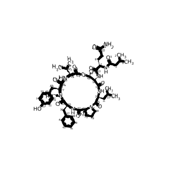 CC(C)CC(=O)N[C@@H](CCC(N)=O)C(=O)N[C@@H]1C(=O)N[C@@H](CC(C)C)C(=O)N2CCC[C@@H]2C(=O)N[C@@H](Cc2ccccc2)C(=O)N(C)[C@@H](Cc2ccc(O)cc2)C(=O)N[C@@H](C(C)C)C(=O)O[C@@H]1C